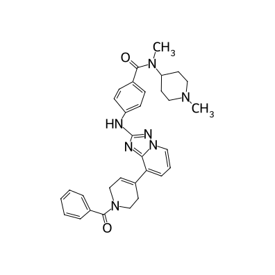 CN1CCC(N(C)C(=O)c2ccc(Nc3nc4c(C5=CCN(C(=O)c6ccccc6)CC5)cccn4n3)cc2)CC1